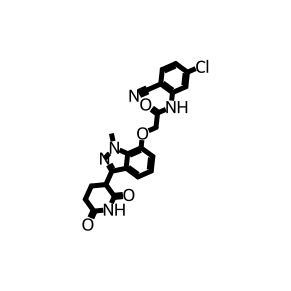 Cn1nc(C2CCC(=O)NC2=O)c2cccc(OCC(=O)Nc3cc(Cl)ccc3C#N)c21